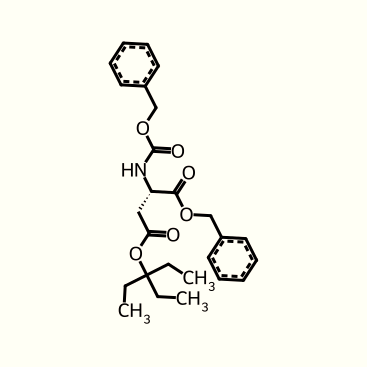 CCC(CC)(CC)OC(=O)C[C@H](NC(=O)OCc1ccccc1)C(=O)OCc1ccccc1